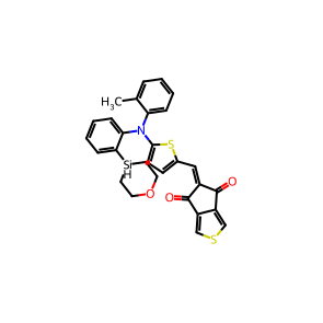 Cc1ccccc1N(c1ccc(C=C2C(=O)c3cscc3C2=O)s1)c1ccccc1[SiH]1CCOCC1